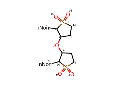 CCCCCCCCCC1C(OC2CCS(=O)(=O)C2CCCCCCCCC)CCS1(=O)=O